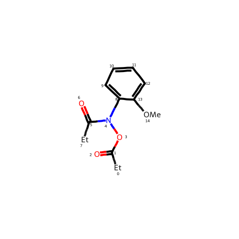 CCC(=O)ON(C(=O)CC)c1ccccc1OC